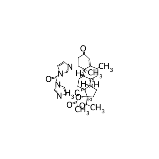 CC(=O)O[C@]1(C(C)=O)CC[C@H]2[C@@H]3C=C(C)C4=CC(=O)CC[C@]4(C)[C@H]3CC[C@@]21C.O=C(n1ccnc1)n1ccnc1